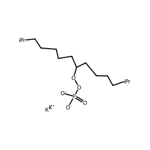 CC(C)CCCCCC(CCCCC(C)C)OOP(=O)([O-])[O-].[K+].[K+]